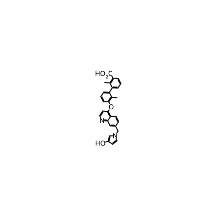 Cc1c(Oc2ccnc3cc(Cn4ccc(O)c4)ccc23)cccc1-c1cccc(C(=O)O)c1C